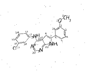 COc1cccc(-c2cc3c(Nc4cccc(Cl)c4)ncnc3[nH]2)c1